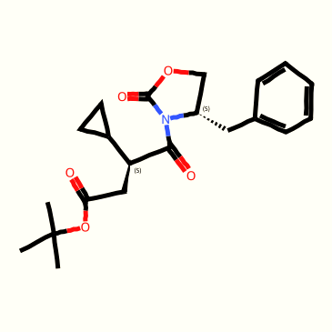 CC(C)(C)OC(=O)C[C@H](C(=O)N1C(=O)OC[C@@H]1Cc1ccccc1)C1CC1